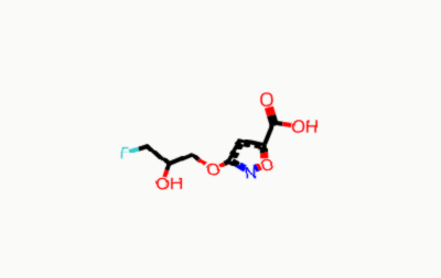 O=C(O)c1cc(OCC(O)CF)no1